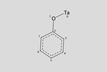 [Ta][O]c1ccccc1